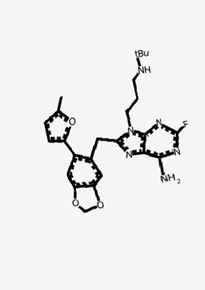 Cc1ccc(-c2cc3c(cc2Cc2nc4c(N)nc(F)nc4n2CCCNC(C)(C)C)OCO3)o1